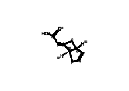 O=C(O)C=C1C[C@@H]2C=CC[C@@H]12